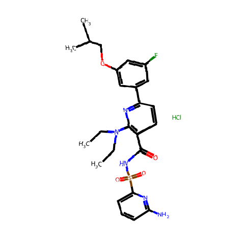 CCN(CC)c1nc(-c2cc(F)cc(OCC(C)C)c2)ccc1C(=O)NS(=O)(=O)c1cccc(N)n1.Cl